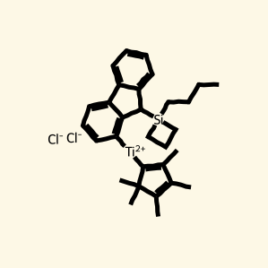 CCCC[Si]1(C2c3ccccc3-c3ccc[c]([Ti+2][C]4=C(C)C(C)=C(C)C4(C)C)c32)CCC1.[Cl-].[Cl-]